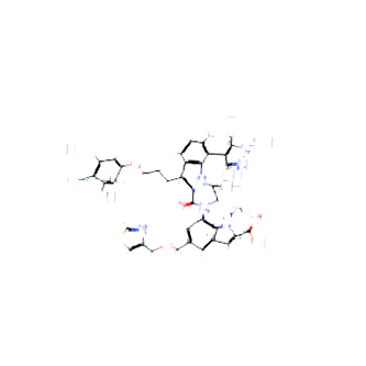 Cc1cc(OCCCc2c3n(c4c(-c5c(C)nn(C)c5C)c(Cl)ccc24)C(C)CN(c2cc(COCc4cscn4)cc4cc(C(=O)O)n(C)c24)C3=O)cc(C)c1Cl